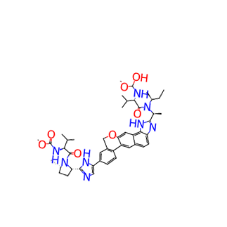 CC[C@H](C)N(C(=O)[C@@H](NC(O)OC)C(C)C)[C@@H](C)c1nc2ccc3cc4c(cc3c2[nH]1)OCc1cc(-c2cnc([C@@H]3CC[C@H](C)N3C(=O)[C@@H](NC(=O)OC)C(C)C)[nH]2)ccc1-4